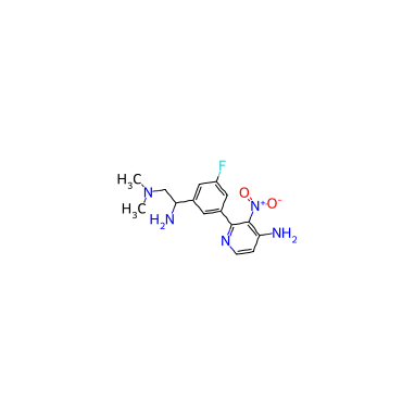 CN(C)CC(N)c1cc(F)cc(-c2nccc(N)c2[N+](=O)[O-])c1